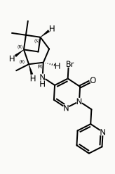 C[C@@H]1[C@H]2C[C@@H](C[C@H]1Nc1cnn(Cc3ccccn3)c(=O)c1Br)C2(C)C